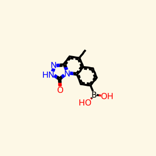 Cc1cc2n[nH]c(=O)n2c2cc(B(O)O)ccc12